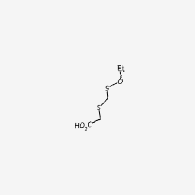 CCOSCSCC(=O)O